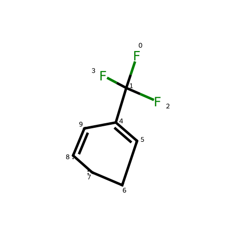 FC(F)(F)C1=CC[C][C]=C1